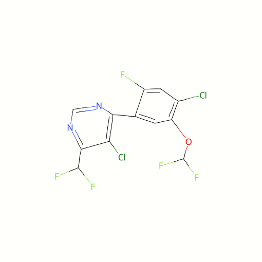 Fc1cc(Cl)c(OC(F)F)cc1-c1ncnc(C(F)F)c1Cl